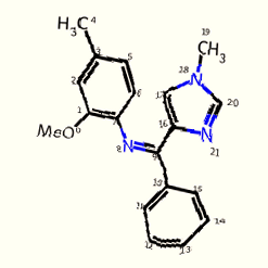 COc1cc(C)ccc1N=C(c1ccccc1)c1cn(C)cn1